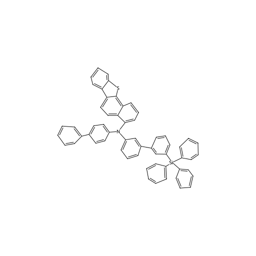 c1ccc(-c2ccc(N(c3cccc(-c4cccc([Si](c5ccccc5)(c5ccccc5)c5ccccc5)c4)c3)c3cccc4c3ccc3c5ccccc5sc43)cc2)cc1